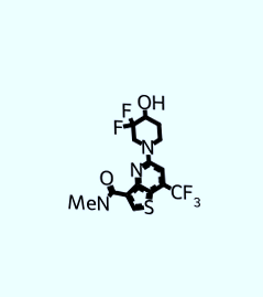 CNC(=O)c1csc2c(C(F)(F)F)cc(N3CCC(O)C(F)(F)C3)nc12